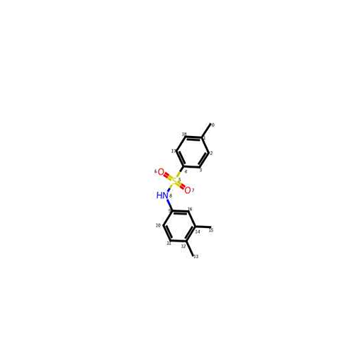 Cc1ccc(S(=O)(=O)Nc2ccc(C)c(C)c2)cc1